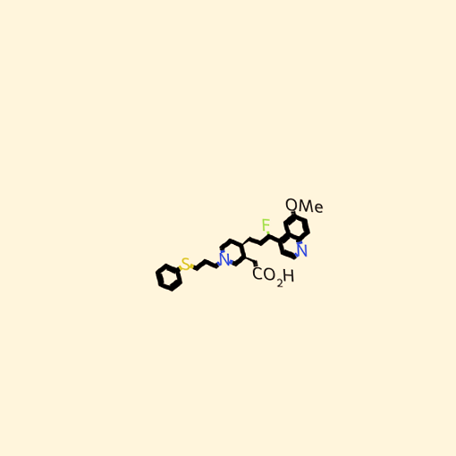 COc1ccc2nccc([C@H](F)CC[C@@H]3CCN(CCCSc4ccccc4)C[C@@H]3CC(=O)O)c2c1